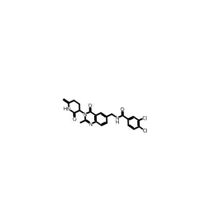 C=C1CCC(n2c(C)nc3ccc(CNC(=O)c4ccc(Cl)c(Cl)c4)cc3c2=O)C(=O)N1